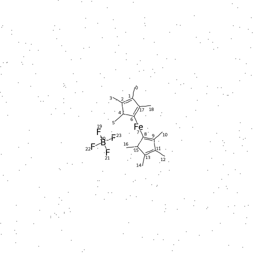 CC1=C(C)C(C)[C]([Fe][C]2=C(C)C(C)=C(C)C2C)=C1C.F[B-](F)(F)F